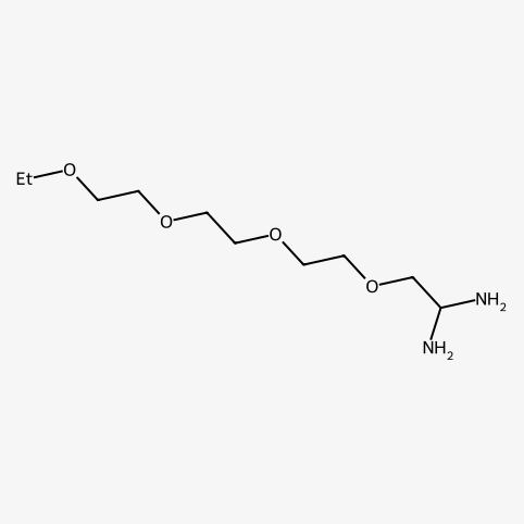 CCOCCOCCOCCOCC(N)N